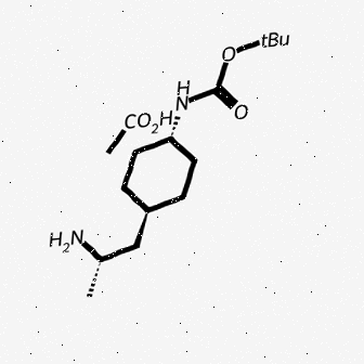 CC(=O)O.C[C@H](N)C[C@H]1CC[C@H](NC(=O)OC(C)(C)C)CC1